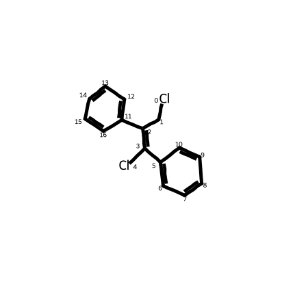 ClCC(=C(Cl)c1ccccc1)c1ccccc1